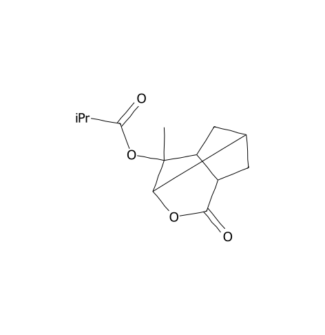 CC(C)C(=O)OC1(C)C2CC3CC2C(=O)OC31